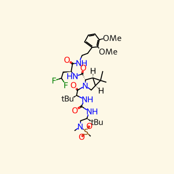 COc1cccc(CCNC(=O)[C@H](CC(F)F)NC(=O)[C@@H]2[C@@H]3[C@H](CN2C(=O)[C@@H](NC(=O)N[C@H](CN(C)S(C)(=O)=O)C(C)(C)C)C(C)(C)C)C3(C)C)c1OC